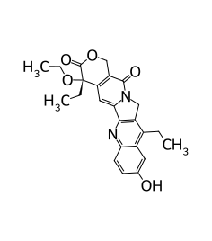 CCO[C@]1(CC)C(=O)OCc2c1cc1n(c2=O)Cc2c-1nc1ccc(O)cc1c2CC